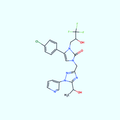 CC(O)c1nc(Cn2cc(-c3ccc(Cl)cc3)n(CC(O)C(F)(F)F)c2=O)nn1-c1cccnc1